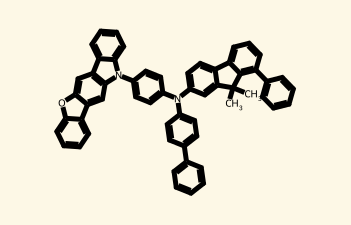 CC1(C)c2cc(N(c3ccc(-c4ccccc4)cc3)c3ccc(-n4c5ccccc5c5cc6oc7ccccc7c6cc54)cc3)ccc2-c2cccc(-c3ccccc3)c21